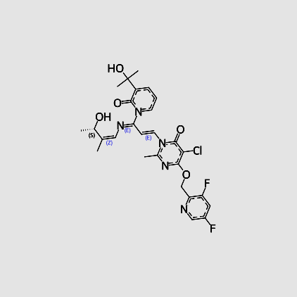 C/C(=C/N=C(\C=C\n1c(C)nc(OCc2ncc(F)cc2F)c(Cl)c1=O)n1cccc(C(C)(C)O)c1=O)[C@H](C)O